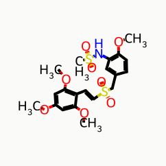 COc1cc(OC)c(/C=C/S(=O)(=O)Cc2ccc(OC)c(NS(C)(=O)=O)c2)c(OC)c1